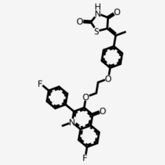 CC(=C1SC(=O)NC1=O)c1ccc(OCCOc2c(-c3ccc(F)cc3)n(C)c3cc(F)ccc3c2=O)cc1